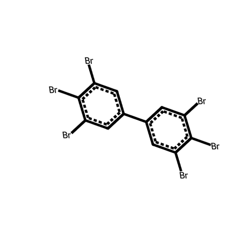 Brc1cc(-c2cc(Br)c(Br)c(Br)c2)cc(Br)c1Br